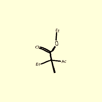 CCOC(=O)C(C)(CC)C(C)=O